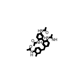 CC(=N)Nc1ccc(CC2=CC=C(NC(C)=O)C(C)C2)cc1-c1cc(NC(C)=O)ccc1NC(C)=O